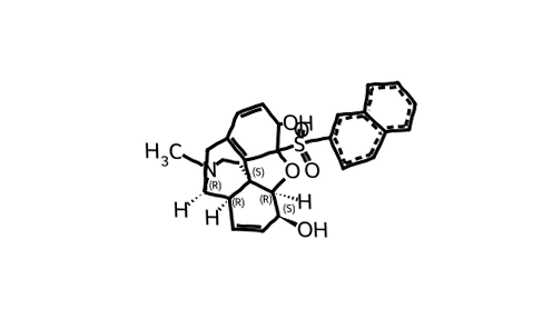 CN1CC[C@]23C4=C5C=CC(O)C4(S(=O)(=O)c4ccc6ccccc6c4)O[C@H]2[C@@H](O)C=C[C@H]3[C@H]1C5